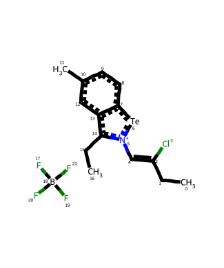 CCC(Cl)=C[n+]1[te]c2ccc(C)cc2c1CC.F[B-](F)(F)F